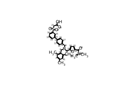 Cc1cc(C)c(CN(Cc2ccc(-c3cccc(S(=O)(=O)CC(=O)O)c3)cc2)Cc2ccc(C(=O)N(C)C)o2)c(C)c1